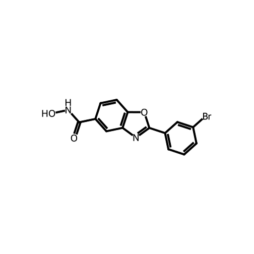 O=C(NO)c1ccc2oc(-c3cccc(Br)c3)nc2c1